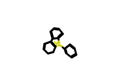 C1=CC2=C(CC1)[SH](c1ccccc1)c1ccccc12